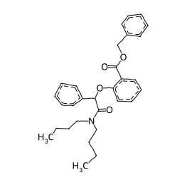 CCCCN(CCCC)C(=O)C(Oc1ccccc1C(=O)OCc1ccccc1)c1ccccc1